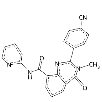 Cn1c(-c2ccc(C#N)cc2)nc2c(C(=O)Nc3ccccn3)cccc2c1=O